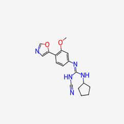 COc1cc(/N=C(\NC#N)NC2CCCC2)ccc1-c1cnco1